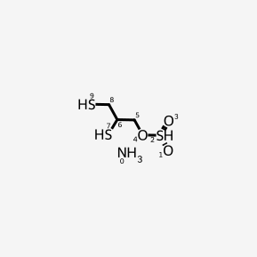 N.O=[SH](=O)OCC(S)CS